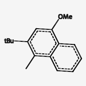 COc1cc(C(C)(C)C)c(C)c2ccccc12